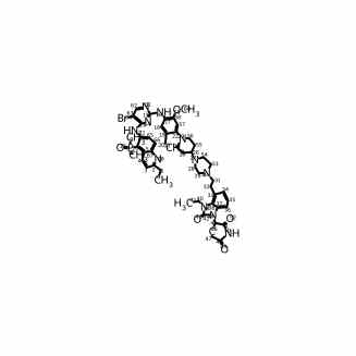 CCc1ccc2c(P(C)(C)=O)c(Nc3nc(Nc4cc(CC)c(N5CCC(N6CCN(CCc7cccc8c7n(CC)c(=O)n8C7CCC(=O)NC7=O)CC6)CC5)cc4OC)ncc3Br)ccc2n1